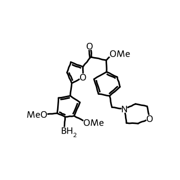 Bc1c(OC)cc(-c2ccc(C(=O)C(OC)c3ccc(CN4CCOCC4)cc3)o2)cc1OC